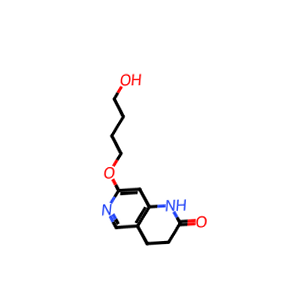 O=C1CCc2cnc(OCCCCO)cc2N1